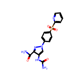 NC(=O)Nc1cn(-c2ccc(S(=O)(=O)c3ccccn3)cc2)nc1C(N)=O